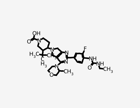 CCNC(=O)Nc1ccc(-c2nc3c(c(N4CCOCC4C)n2)CN(C2CCN(C(=O)O)CC2C(C)(C)C)C3)cc1F